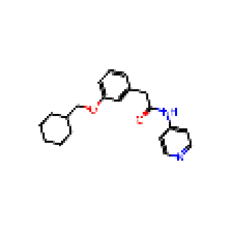 O=C(Cc1cccc(OCC2CCCCC2)c1)Nc1ccncc1